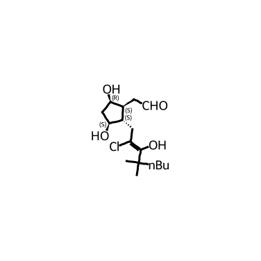 CCCCC(C)(C)C(O)=C(Cl)C[C@H]1[C@H](CC=O)[C@H](O)C[C@@H]1O